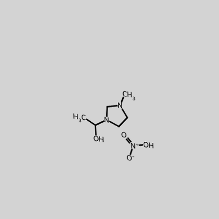 CC(O)N1CCN(C)C1.O=[N+]([O-])O